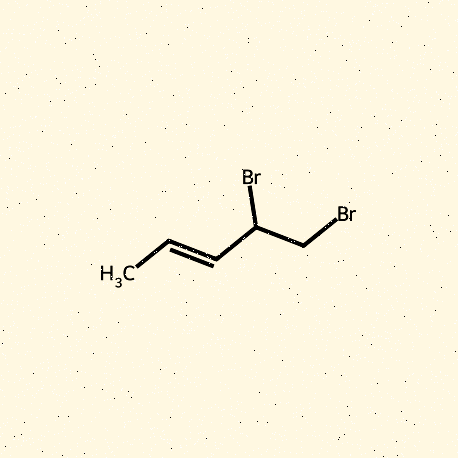 CC=CC(Br)CBr